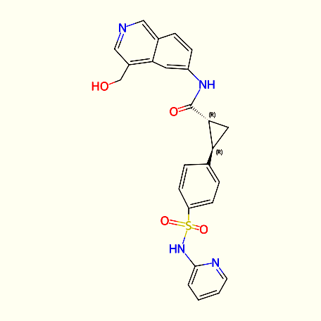 O=C(Nc1ccc2cncc(CO)c2c1)[C@@H]1C[C@H]1c1ccc(S(=O)(=O)Nc2ccccn2)cc1